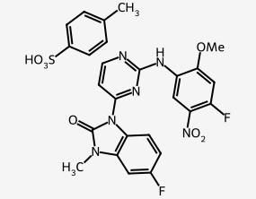 COc1cc(F)c([N+](=O)[O-])cc1Nc1nccc(-n2c(=O)n(C)c3cc(F)ccc32)n1.Cc1ccc(S(=O)(=O)O)cc1